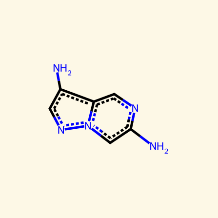 Nc1cn2ncc(N)c2cn1